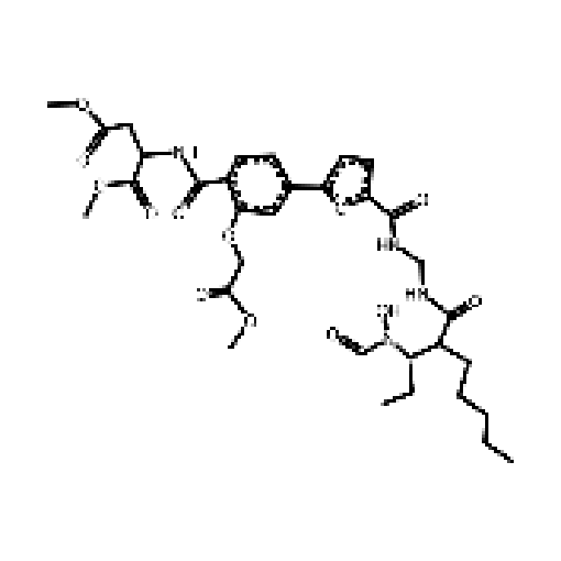 CCCCCC(C(=O)NCNC(=O)c1ccc(-c2ccc(C(=O)NC(CC(=O)OC)C(=O)OC)c(OCC(=O)OC)c2)o1)[C@@H](CC)N(O)C=O